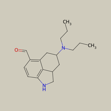 CCCN(CCC)C1Cc2c(C=O)ccc3c2C(CN3)C1